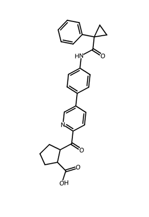 O=C(O)C1CCCC1C(=O)c1ccc(-c2ccc(NC(=O)C3(c4ccccc4)CC3)cc2)cn1